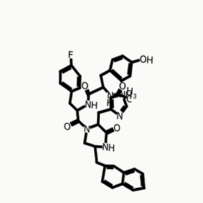 CC(=O)NC(Cc1ccc(O)cc1)C(=O)NC(Cc1ccc(F)cc1)C(=O)N1CC(Cc2ccc3ccccc3c2)NC(=O)C1Cc1c[nH]cn1